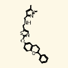 Cc1cc(CNCc2cnc(Oc3ccc4c(c3)CCC(c3ccccc3)O4)s2)nn1C